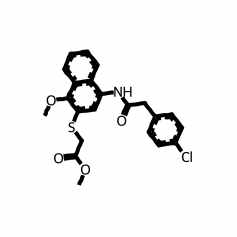 COC(=O)CSc1cc(NC(=O)Cc2ccc(Cl)cc2)c2ccccc2c1OC